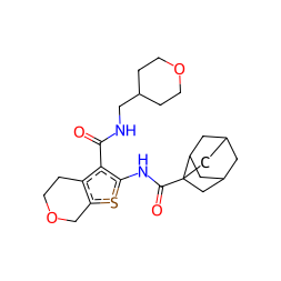 O=C(NCC1CCOCC1)c1c(NC(=O)C23CC4CC(CC2C4)C3)sc2c1CCOC2